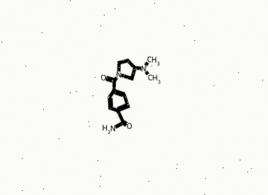 CN(C)C1CCN(C(=O)c2ccc(C(N)=O)cc2)C1